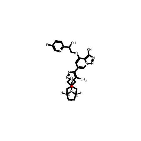 Cc1c(-c2cc(OCC(O)c3ccc(F)cn3)c3c(C#N)nnn3c2)nnn1C1C[C@H]2CC[C@@H](C1)N2C1COC1